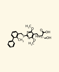 COc1nc(SCc2cccc(-c3ccccc3)c2C)nc(OC)c1CN[C@@H](CO)C(=O)O